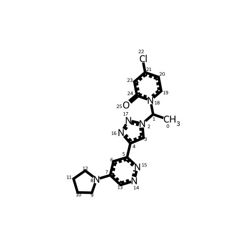 CC(n1cc(-c2cc(N3CCCC3)cnn2)nn1)n1ccc(Cl)cc1=O